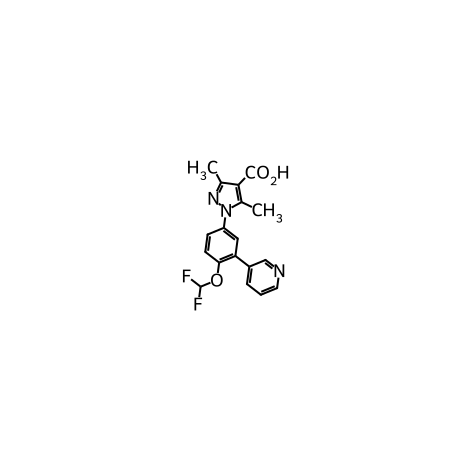 Cc1nn(-c2ccc(OC(F)F)c(-c3cccnc3)c2)c(C)c1C(=O)O